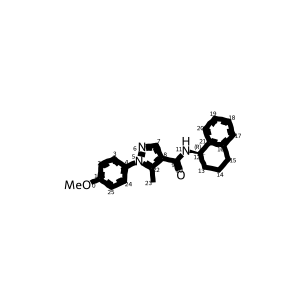 COc1ccc(-n2ncc(C(=O)N[C@@H]3CCCc4ccccc43)c2C)cc1